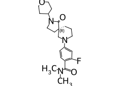 CN(C)C(=O)c1ccc(N2CCC[C@@]3(CCN(C4CCOCC4)C3=O)C2)cc1F